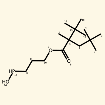 CC(C)(C)CC(C)(C(=O)OCCCPO)C(C)(C)C